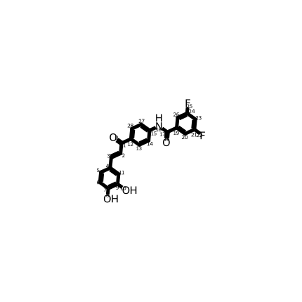 O=C(/C=C/c1ccc(O)c(O)c1)c1ccc(NC(=O)c2cc(F)cc(F)c2)cc1